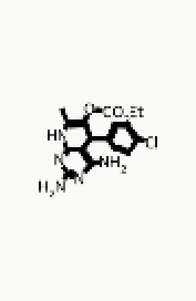 CCOC(=O)OC1=C(C)Nc2nc(N)nc(N)c2C1c1ccc(Cl)cc1